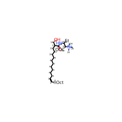 CCCCCCCC/C=C\CCCCCCCCCCC(CO)C(=O)NC(CC)C(C(=O)[O-])[N+](C)(C)C